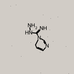 N=C(NN)N1C=NC=CC1